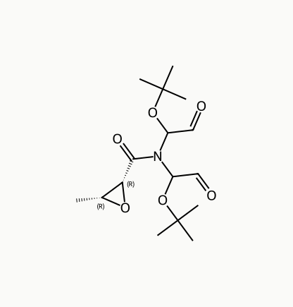 C[C@H]1O[C@H]1C(=O)N(C(C=O)OC(C)(C)C)C(C=O)OC(C)(C)C